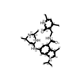 Cc1cc(C)c(CNC(=O)c2cc(N/C(=C/C(C)N)NC(C)C)cc3c2c(C)cn3C(C)C)c(=O)[nH]1